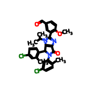 COc1ccc(C=O)cc1-c1nc2c(n1C(C)C)C(c1ccc(Cl)cc1C)N(c1cc(Cl)ccc1C)C2=O